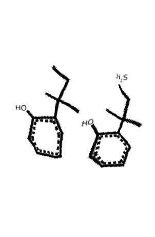 CCC(C)(C)c1ccccc1O.CCC(C)(C)c1ccccc1O.S